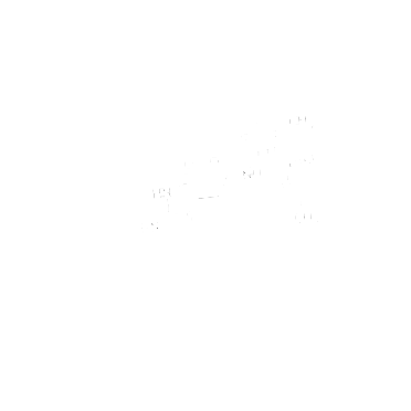 CCOC(=O)c1c(C)csc1NC(=O)CC1SC(=N)NC1=O